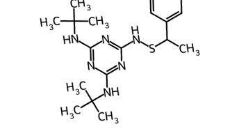 CC(SNc1nc(NC(C)(C)C)nc(NC(C)(C)C)n1)c1ccccc1